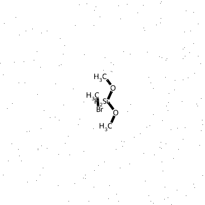 CBr.CO[SiH2]OC